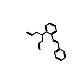 C=CCN(CC=C)c1ccccc1/N=C/c1ccccc1